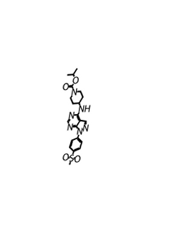 CC(C)OC(=O)N1CCC(Nc2ncnc3c2cnn3-c2ccc(S(C)(=O)=O)cc2)CC1